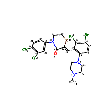 CN1CCN(c2ccc(Br)c(Br)c2C=C2SCCN(c3ccc(Cl)c(Cl)c3)C2=O)CC1